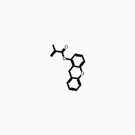 C=C(C)C(=O)Oc1cccc2c1Cc1ccccc1O2